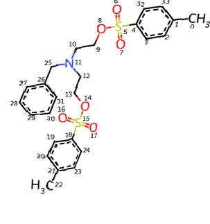 Cc1ccc(S(=O)(=O)OCCN(CCOS(=O)(=O)c2ccc(C)cc2)Cc2ccccc2)cc1